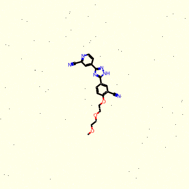 COCCOCCOc1ccc(-c2nc(-c3ccnc(C#N)c3)n[nH]2)cc1C#N